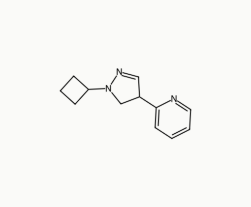 C1=NN(C2CCC2)CC1c1ccccn1